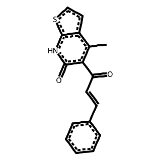 Cc1c(C(=O)C=Cc2ccccc2)c(=O)[nH]c2sccc12